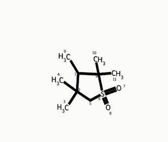 CC1C(C)(C)CS(=O)(=O)C1(C)C